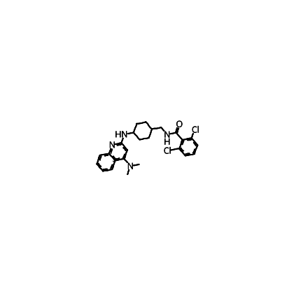 CN(C)c1cc(NC2CCC(CNC(=O)c3c(Cl)cccc3Cl)CC2)nc2ccccc12